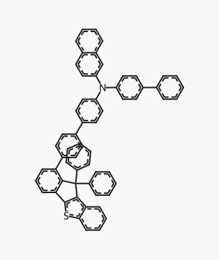 c1ccc(-c2ccc(N(c3ccc(-c4ccc(-c5cccc6c5C(c5ccccc5)(c5ccccc5)c5c-6sc6ccccc56)cc4)cc3)c3ccc4ccccc4c3)cc2)cc1